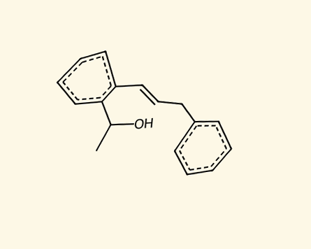 CC(O)c1ccccc1C=CCc1ccccc1